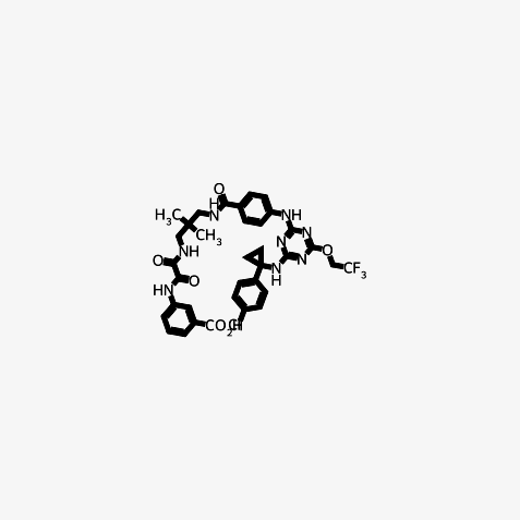 CC(C)(CNC(=O)C(=O)Nc1cccc(C(=O)O)c1)CNC(=O)c1ccc(Nc2nc(NC3(c4ccc(Cl)cc4)CC3)nc(OCC(F)(F)F)n2)cc1